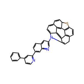 C1=CC2Sc3ccc4c5c3c2c2c1ccc1c2c5c(n1-c1cnc2cc(-c3cc(-c5ccccc5)ccn3)ccc2c1)=CC4